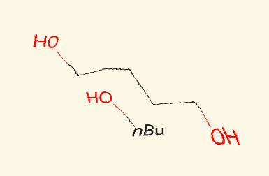 CCCCO.OCCCCO